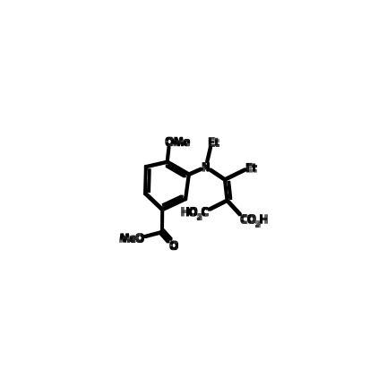 CCC(=C(C(=O)O)C(=O)O)N(CC)c1cc(C(=O)OC)ccc1OC